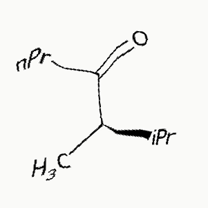 CCCC(=O)[C@H](C)C(C)C